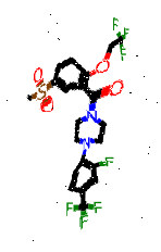 CS(=O)(=O)c1ccc(OCC(F)(F)F)c(C(=O)N2CCN(c3ccc(C(F)(F)F)cc3F)CC2)c1